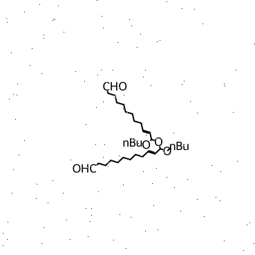 CCCCOC(C=CCCCCCCCCC=O)OC(C=CCCCCCCCCC=O)OCCCC